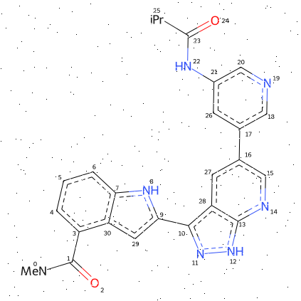 CNC(=O)c1cccc2[nH]c(-c3n[nH]c4ncc(-c5cncc(NC(=O)C(C)C)c5)cc34)cc12